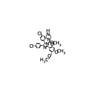 CCOCc1cc(C2=NC(c3ccc(Cl)cc3)C(c3ccc(Cl)cc3)N2C(=O)N2CCNCC2)c(OC)cc1OC